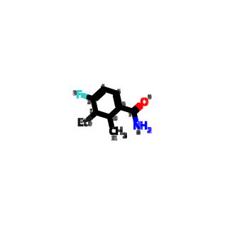 CCC1C(F)=CC=C(C(N)=O)C1C